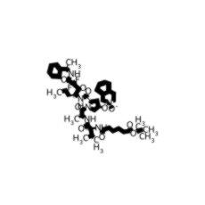 CCC[C@H](NC(=O)[C@@H]1C[C@@H](O[N+]2([O-])CCc3ccccc3C2)CN1C(=O)[C@H](C)NC(=O)[C@@H](NC(=O)CCCCC(=O)OC(C)(C)C)C(C)C)C(=O)C(F)(F)C(=O)N[C@@H](C)c1ccccc1